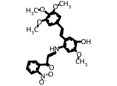 COc1cc(NC=CC(=O)c2ccccc2[N+](=O)[O-])c(C=Cc2cc(OC)c(OC)c(OC)c2)cc1O